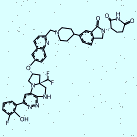 O=C1CC[C@H](N2Cc3ccc(C4CCN(Cc5ccc6cc(O[C@H]7CN8c9cc(-c%10cccc(F)c%10O)nnc9NC[C@@]8(C(F)F)C7)ccc6n5)CC4)cc3C2=O)C(=O)N1